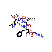 COC[C@H](NC(=O)c1cnc(C)s1)C(=O)N[C@@H](COC)C(=O)N[C@@H](CCc1ccccc1)C(=O)C(C)(CI)OC(=O)CN